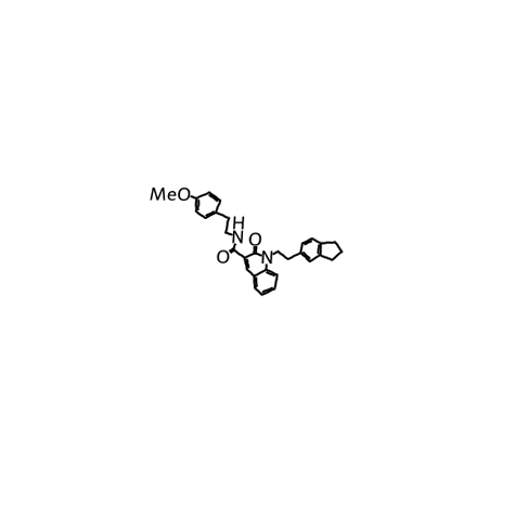 COc1ccc(CCNC(=O)c2cc3ccccc3n(CCc3ccc4c(c3)CCC4)c2=O)cc1